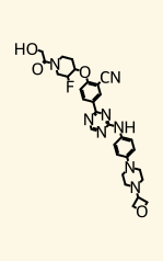 N#Cc1cc(-c2ncnc(Nc3ccc(N4CCN(C5COC5)CC4)cc3)n2)ccc1OC1CCN(C(=O)CO)CC1F